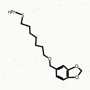 CCCSCCCCCCCOCc1ccc2c(c1)OCO2